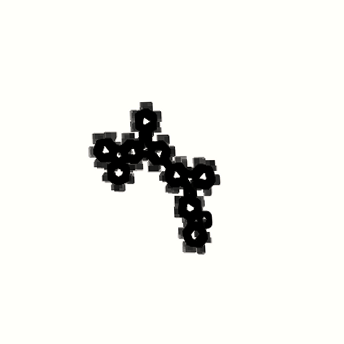 C1=Cc2oc3cc(-n4c5ccccc5c5cc(-c6ccc7c(c6)c6cc8c(cc6n7-c6ccccc6)-c6ccccc6C86CCCCC6)ccc54)ccc3c2CC1